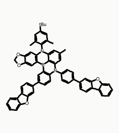 Cc1cc2c3c(c1)N(c1c(C)cc(C(C)(C)C)cc1C)c1cc4c(cc1B3c1cc(-c3ccc5c(c3)oc3ccccc35)ccc1N2c1ccc(-c2ccc3c(c2)oc2ccccc23)cc1)OCO4